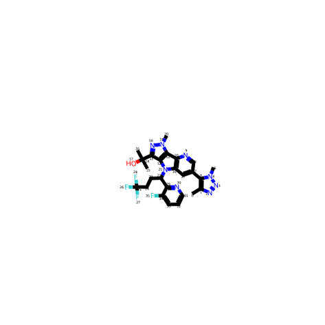 Cc1nnn(C)c1-c1cnc2c3c(c(C(C)(C)O)nn3C)n(C(CCC(F)(F)F)c3ncccc3F)c2c1